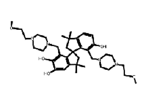 COCCN1CCN(Cc2c(O)ccc3c2C2(CC3(C)C)CC(C)(C)c3cc(O)c(O)c(CN4CCN(CCOC)CC4)c32)CC1